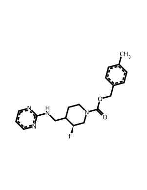 Cc1ccc(COC(=O)N2CCC(CNc3ncccn3)[C@H](F)C2)cc1